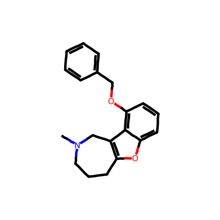 CN1CCCc2oc3cccc(OCc4ccccc4)c3c2C1